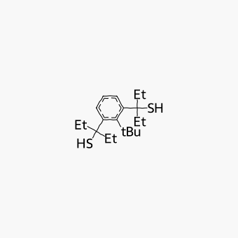 CCC(S)(CC)c1cccc(C(S)(CC)CC)c1C(C)(C)C